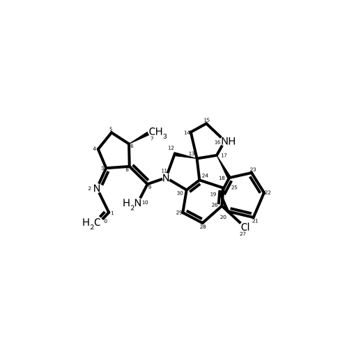 C=C/N=C1/CC[C@@H](C)/C1=C(/N)N1C[C@]2(CCN[C@H]2c2ccccc2)c2cc(Cl)ccc21